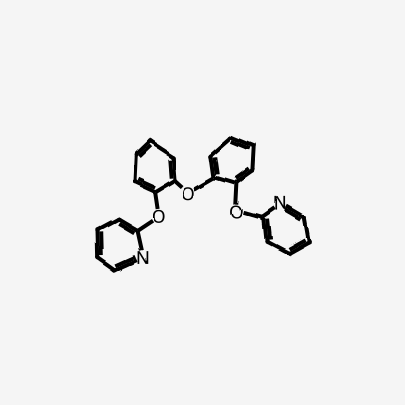 c1ccc(Oc2ccccc2Oc2ccccc2Oc2ccccn2)nc1